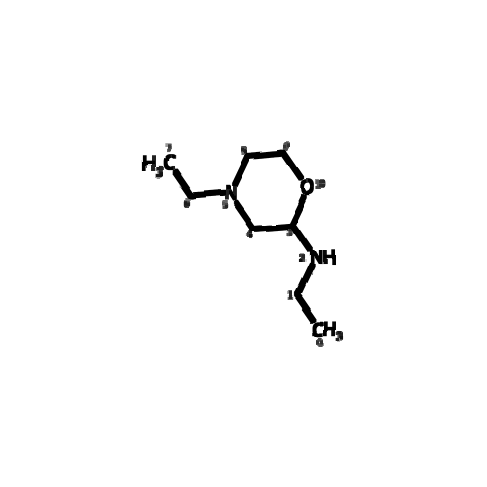 CCNC1CN(CC)CCO1